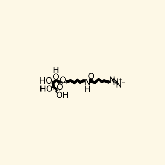 [N-]=[N+]=NCCCCCC(=O)NCCCCCCO[C@H]1O[C@H](CO)[C@@H](O)C(O)C1O